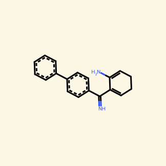 N=C(C1=CCCC=C1N)c1ccc(-c2ccccc2)cc1